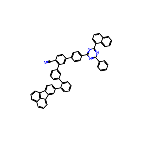 N#Cc1ccc(-c2ccc(-c3nc(-c4ccccc4)nc(-c4cccc5ccccc45)n3)cc2)cc1-c1cccc(-c2ccccc2-c2ccc3c(c2)-c2cccc4cccc-3c24)c1